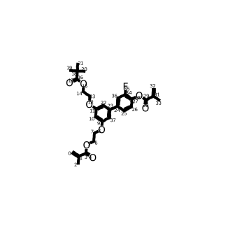 C=C(C)C(=O)OCCOc1cc(OCCOC(=O)C(C)(C)C)cc(-c2ccc(OC(=O)C(=C)C)c(F)c2)c1